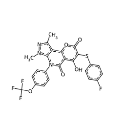 Cc1nn(C)c2c1c1oc(=O)c(Sc3ccc(F)cc3)c(O)c1c(=O)n2-c1ccc(OC(F)(F)F)cc1